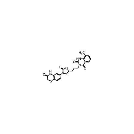 Cc1cccc2c(=O)n(CCC[C@@H]3CN(c4ccc5c(c4)NC(=O)CS5)C(=O)O3)c(=O)[nH]c12